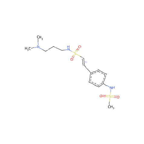 CN(C)CCCNS(=O)(=O)/C=C/c1ccc(NS(C)(=O)=O)cc1